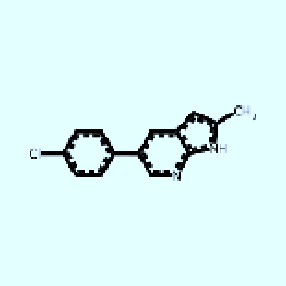 Cc1cc2cc(-c3ccc(Cl)cc3)cnc2[nH]1